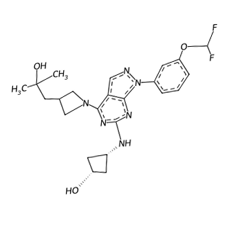 CC(C)(O)CC1CN(c2nc(N[C@H]3C[C@@H](O)C3)nc3c2cnn3-c2cccc(OC(F)F)c2)C1